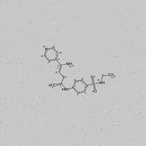 C=C(Nc1ccc(S(=O)(=O)NCC)cc1)S/C=C(\N)c1ccncc1